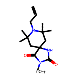 C=CCN1C(C)(C)CC2(CC1(C)C)NC(=O)N(CCCCCCCC)C2=O